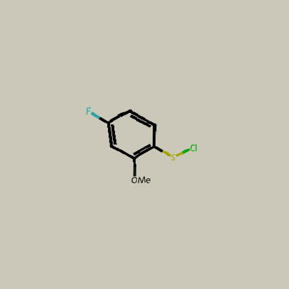 COc1cc(F)ccc1SCl